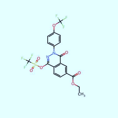 CCOC(=O)c1ccc2c(OS(=O)(=O)C(F)(F)F)nn(-c3ccc(OC(F)(F)F)cc3)c(=O)c2c1